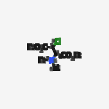 CCOC(=O)C(Cl)C(C(=O)OCC)N(CC)CC